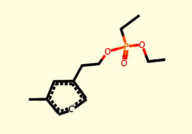 CCOP(=O)(CC)OCCc1cccc(C)c1